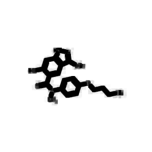 CCCCc1n[nH]c2cc(O)c(C(=O)N(C)c3ccc(OCCCC#N)cc3)cc12